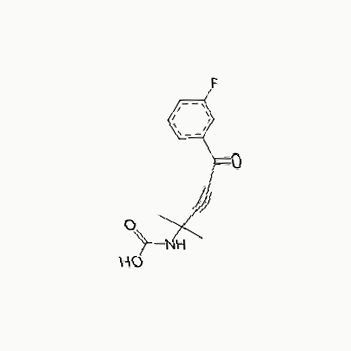 CC(C)(C#CC(=O)c1cccc(F)c1)NC(=O)O